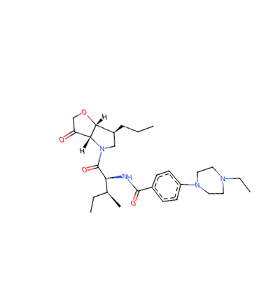 CCC[C@H]1CN(C(=O)[C@@H](NC(=O)c2ccc(N3CCN(CC)CC3)cc2)[C@@H](C)CC)[C@@H]2C(=O)CO[C@H]12